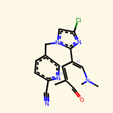 C/C(C=O)=C/C(=C\N(C)C)c1nc(Cl)cn1Cc1ccc(C#N)nc1